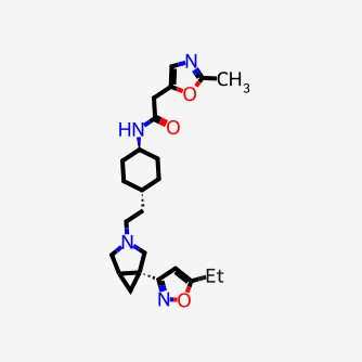 CCc1cc([C@]23CC2CN(CC[C@H]2CC[C@H](NC(=O)Cc4cnc(C)o4)CC2)C3)no1